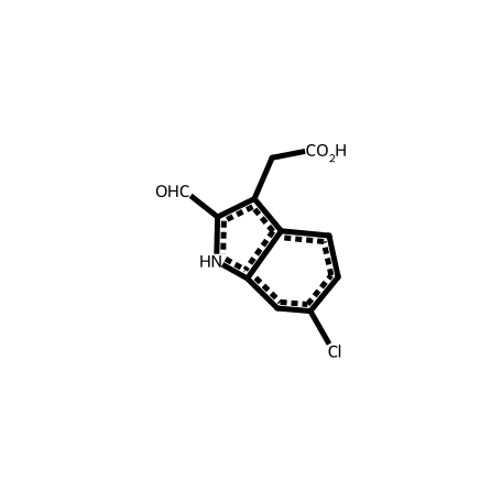 O=Cc1[nH]c2cc(Cl)ccc2c1CC(=O)O